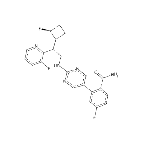 NC(=O)c1ccc(F)cc1-c1cnc(NC[C@H](c2ncccc2F)C2CC[C@@H]2F)nc1